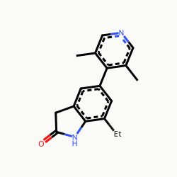 CCc1cc(-c2c(C)cncc2C)cc2c1NC(=O)C2